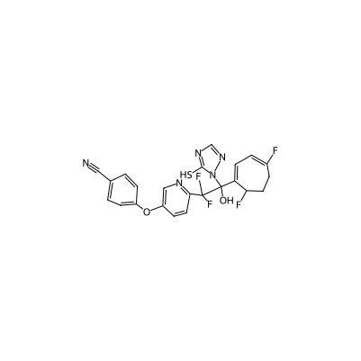 N#Cc1ccc(Oc2ccc(C(F)(F)C(O)(C3=CC=C(F)CCC3F)n3ncnc3S)nc2)cc1